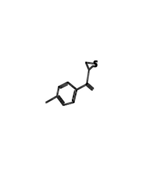 C=C(c1ccc(C)cc1)C1CS1